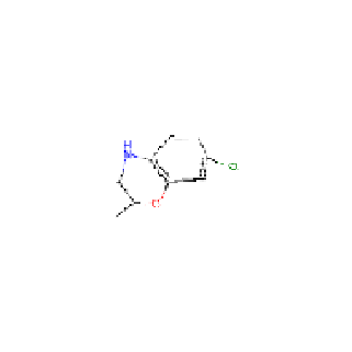 CC1CNc2ccc(Cl)cc2O1